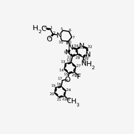 C=CC(=O)N1CCC[C@@H](n2nc(-c3ccc(OCc4cccc(C)c4)c(F)c3)c3c(N)ncnc32)C1